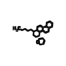 C1=CCOC=C1.CCCCCC1CCCc2c1ccc1c2ccc2ccccc21